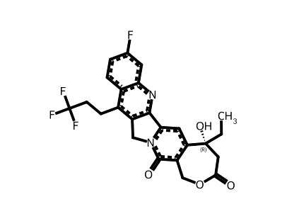 CC[C@@]1(O)CC(=O)OCc2c1cc1n(c2=O)Cc2c-1nc1cc(F)ccc1c2CCC(F)(F)F